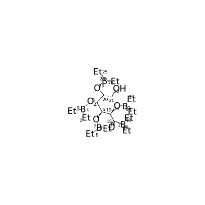 CCB(CC)O[C@@H]([C@H](OB(CC)CC)[C@@H](OB(CC)CC)C(=O)B(CC)CC)[C@@H](CO)OB(CC)CC